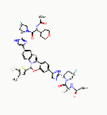 COC(=O)N[C@H](C(=O)N1C[C@H](F)C[C@H]1c1ncc(-c2ccc3c(c2)OC(c2cc(C)c(C)s2)n2c-3cc3cc(-c4c[nH]c([C@@H]5C[C@@H](F)CN5C(=O)[C@@H](NC(=O)OC)C5CCOCC5)n4)ccc32)[nH]1)C(C)C